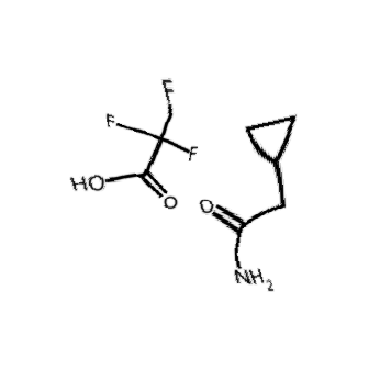 NC(=O)CC1CC1.O=C(O)C(F)(F)F